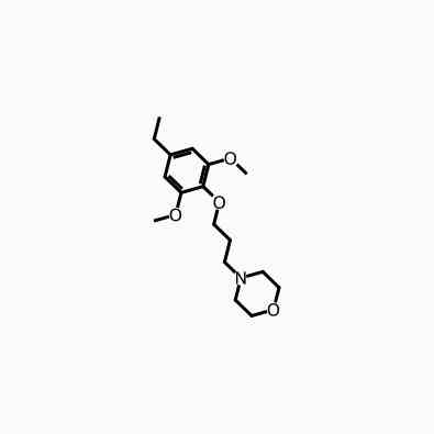 CCc1cc(OC)c(OCCCN2CCOCC2)c(OC)c1